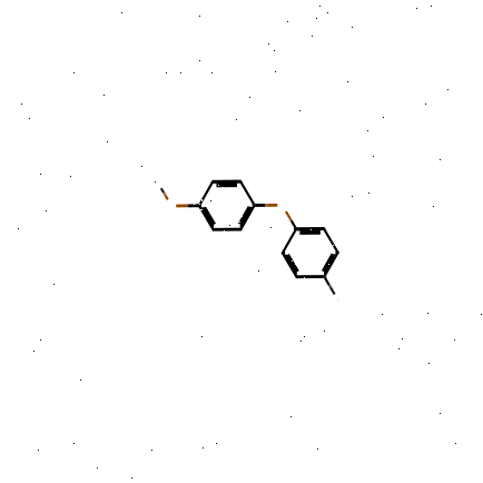 CCCCCCCCSc1ccc(Sc2ccc(C(C)=O)cc2)cc1